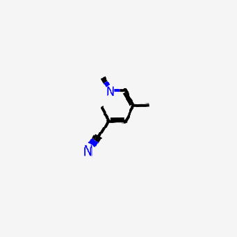 C=N/C=C(C)\C=C(/C)C#N